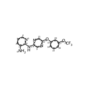 Nc1cccnc1Nc1cnc(Oc2cccc(OC(F)(F)F)c2)cn1